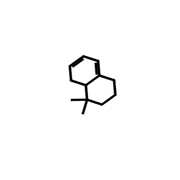 CC1(C)CCCC2=CC=CCC21